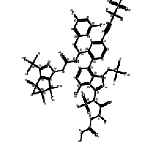 COC(=O)CN(C)C(=O)N(c1nn(CC(F)(F)F)c2c(-c3ccc(C#CC(C)(C)S(C)(=O)=O)nc3[C@H](Cc3cc(F)cc(F)c3)NC(=O)Cn3nc(C(F)(F)F)c4c3C(F)(F)[C@@H]3C[C@H]43)ccc(Cl)c12)S(C)(=O)=O